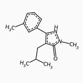 Cc1cccc(-c2[nH]n(C)c(=O)c2CC(C)C)c1